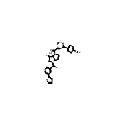 CC(C)C[C@H](NC(=O)c1ccc(C(C)(C)C)cc1)C(=O)N1CCC2[C@H]1C(=O)CN2C(=O)c1cncc(-c2cccs2)c1